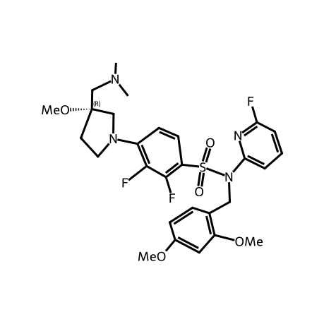 COc1ccc(CN(c2cccc(F)n2)S(=O)(=O)c2ccc(N3CC[C@](CN(C)C)(OC)C3)c(F)c2F)c(OC)c1